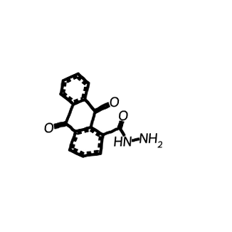 NNC(=O)c1cccc2c1C(=O)c1ccccc1C2=O